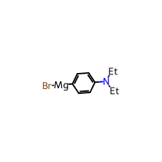 CCN(CC)c1cc[c]([Mg][Br])cc1